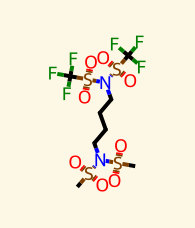 CS(=O)(=O)N(CCCCN(S(=O)(=O)C(F)(F)F)S(=O)(=O)C(F)(F)F)S(C)(=O)=O